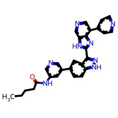 CCCCC(=O)Nc1cncc(-c2ccc3[nH]nc(-c4nc5c(-c6ccncc6)cncc5[nH]4)c3c2)c1